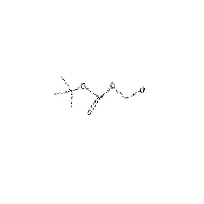 CC(C)(C)OC(=O)OC[O]